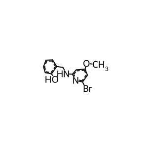 COc1cc(Br)nc(NCc2ccccc2O)c1